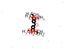 COC(=O)c1cc(C(=O)c2ccc(C(=O)OC)c(C(=O)OC(C)(C)C)c2)ccc1C(=O)OC(C)(C)C